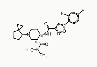 CN(C)C(=O)[C@@H]1CN(C2CCCC23CC3)CC[C@H]1NC(=O)c1cc(-c2ccc(F)cc2F)on1